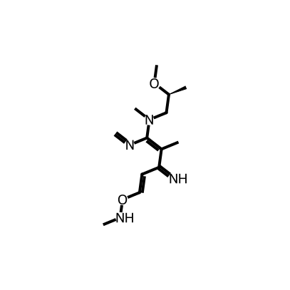 C=N/C(=C(/C)C(=N)/C=C/ONC)N(C)C[C@H](C)OC